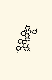 C=C1C=C(C)C=CC1N(c1cccc(C)c1)c1cc2oc3cc(N(C4=CC=C(C)CC4(C)C)c4cccc(C)c4)c4ccccc4c3c2c2ccccc12